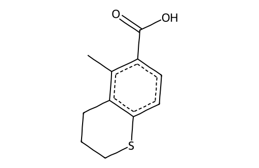 Cc1c(C(=O)O)ccc2c1CCCS2